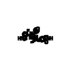 CCn1c(CN2CCC3(CCNC3=O)CC2)nc2c(N3CCOCC3)nc(-c3c(F)ccc4[nH]ccc34)nc21